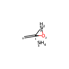 C=C1O[SiH2]1.[SiH4]